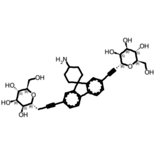 NC1CCC2(CC1)c1cc(C#CC[C@H]3O[C@H](CO)[C@@H](O)[C@H](O)[C@@H]3O)ccc1-c1ccc(C#C[C@H]3O[C@H](CO)[C@@H](O)[C@H](O)[C@@H]3O)cc12